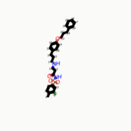 Cc1ccc(S(=O)(=O)NC(=O)CCNCCCc2ccc(OCCCc3ccccc3)cc2)cc1F